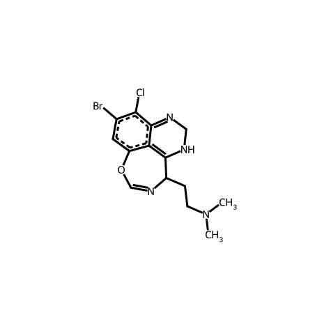 CN(C)CCC1N=COc2cc(Br)c(Cl)c3c2=C1NCN=3